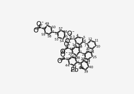 O=C([O-])c1ccc(-c2ccccc2)cc1.O=C([O-])c1ccc(-c2ccccc2)cc1.O=C([O-])c1ccc(-c2ccccc2)cc1.O=C([O-])c1ccc(-c2ccccc2)cc1.[Pb+4]